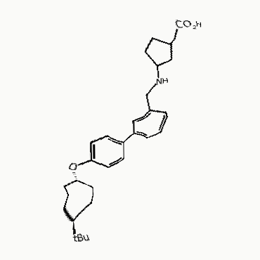 CC(C)(C)[C@H]1CC[C@H](Oc2ccc(-c3cccc(CNC4CCC(C(=O)O)C4)c3)cc2)CC1